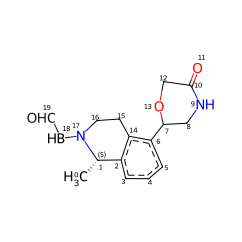 C[C@H]1c2cccc(C3CNC(=O)CO3)c2CCN1BC=O